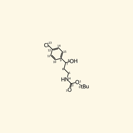 CC(C)(C)OC(=O)NCCC(O)c1ccc(Cl)cc1